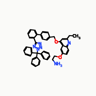 CCc1cc(OCc2ccc(-c3ccccc3-c3nnn(C(c4ccccc4)(c4ccccc4)c4ccccc4)n3)cc2)c2cc(OCCN)ccc2n1